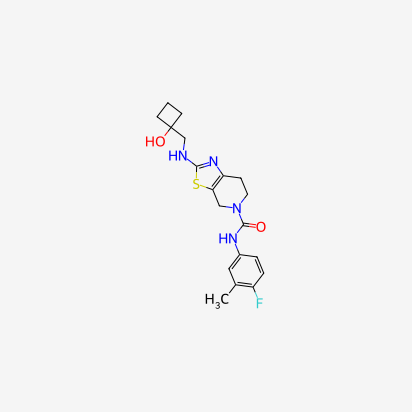 Cc1cc(NC(=O)N2CCc3nc(NCC4(O)CCC4)sc3C2)ccc1F